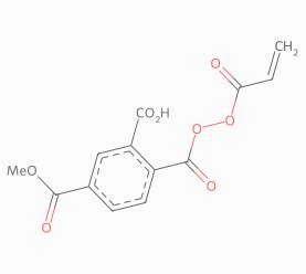 C=CC(=O)OOC(=O)c1ccc(C(=O)OC)cc1C(=O)O